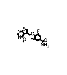 COc1ncnc2scc(COc3c(F)cc(C(N)=O)cc3F)c12